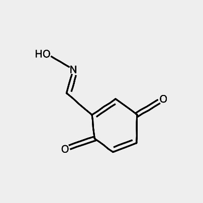 O=C1C=CC(=O)C(C=NO)=C1